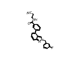 N#CCCNC(=O)c1cccc(-c2cccc3nn(Cc4cccc(F)c4)cc23)c1